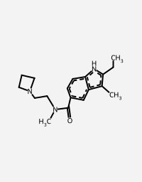 CCc1[nH]c2ccc(C(=O)N(C)CCN3CCC3)cc2c1C